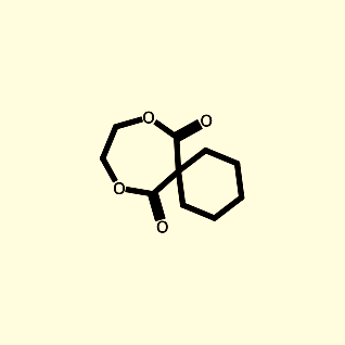 O=C1OCCOC(=O)C12CCCCC2